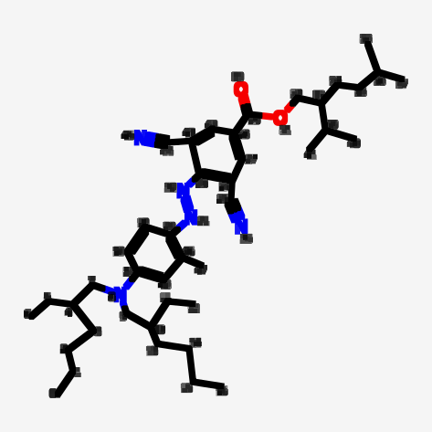 CCCCC(CC)CN(CC(CC)CCCC)c1ccc(N=Nc2c(C#N)cc(C(=O)OCC(CCC(C)C)C(C)C)cc2C#N)c(C)c1